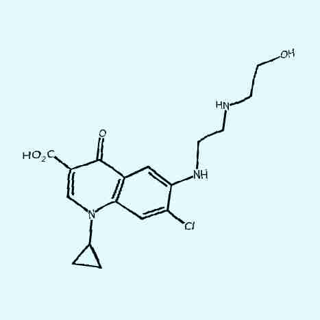 O=C(O)c1cn(C2CC2)c2cc(Cl)c(NCCNCCO)cc2c1=O